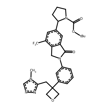 Cn1cnnc1CC1(c2cccc(N3Cc4c(cc(C5CCCN5C(=O)OC(C)(C)C)cc4C(F)(F)F)C3=O)c2)COC1